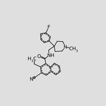 CCc1c(C#N)cc2ccccc2c1C(=O)NCC1(c2cccc(F)c2)CCN(C)CC1